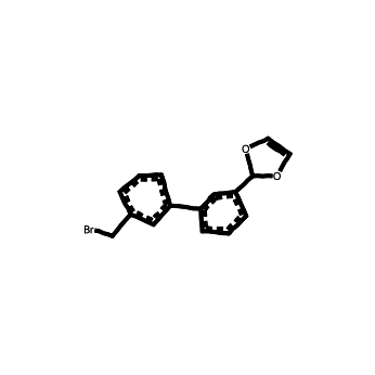 BrCc1cccc(-c2cccc(C3OC=CO3)c2)c1